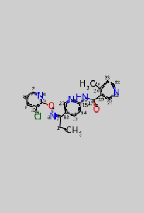 CCC(=NOc1ncccc1Cl)c1ccc(NC(=O)c2cnccc2C)nc1